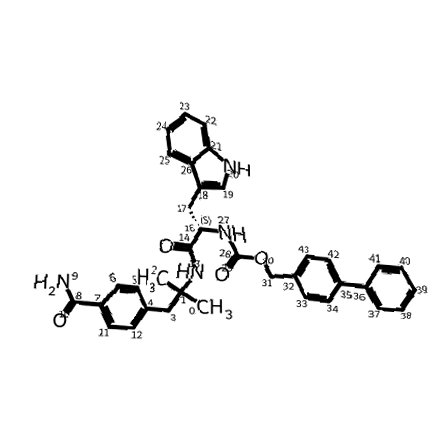 CC(C)(Cc1ccc(C(N)=O)cc1)NC(=O)[C@H](Cc1c[nH]c2ccccc12)NC(=O)OCc1ccc(-c2ccccc2)cc1